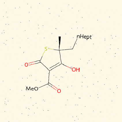 CCCCCCCC[C@@]1(C)SC(=O)C(C(=O)OC)=C1O